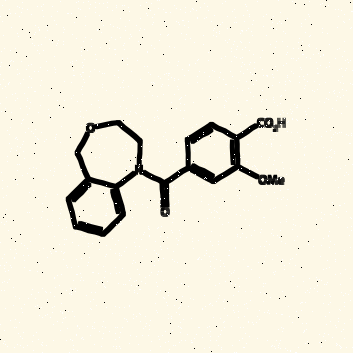 COc1cc(C(=O)N2CCOCc3ccccc32)ccc1C(=O)O